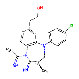 CC(=N)N1C(=N)[C@H](C)CN(c2ccc(Cl)cc2)c2cc(CCO)ccc21